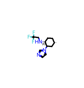 FC(F)(F)CN[C@@H]1CC[CH]CC1n1ccnc1